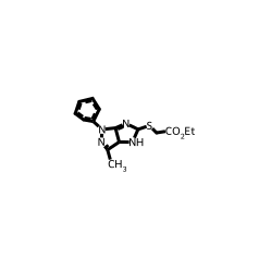 CCOC(=O)CSC1N=C2C(N1)C(C)=NN2c1ccccc1